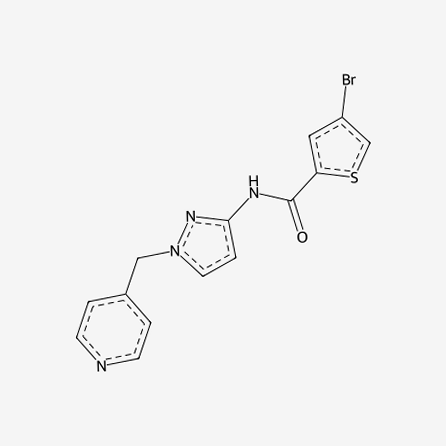 O=C(Nc1ccn(Cc2ccncc2)n1)c1cc(Br)cs1